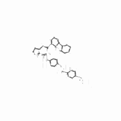 NCc1ccc(C(=O)Nc2ccc(Nc3nc(-c4cccc5c4oc4ccccc45)cc4ccnn34)cc2)cc1